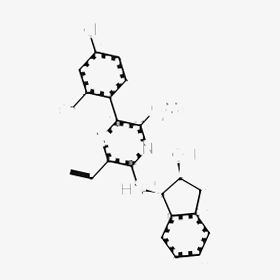 C=Cc1nc(-c2ccc(Cl)cc2Cl)c(OC)nc1N[C@@H]1c2ccccc2C[C@@H]1O